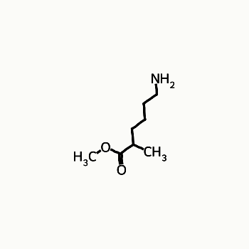 COC(=O)C(C)CCCCN